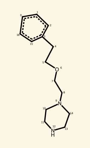 c1ccc(CCOCCN2CCNCC2)cc1